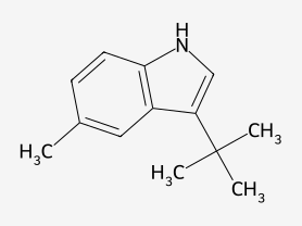 Cc1ccc2[nH]cc(C(C)(C)C)c2c1